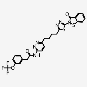 O=C(Cc1cccc(OC(F)(F)F)c1)Nc1ccc(CCCCc2nnc(-n3sc4ccccc4c3=O)s2)nn1